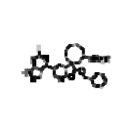 CCCCCCCC1CCCCCC(C(=O)OCc2ccccc2)(c2cncc(-c3nc(I)nc4[nH]ncc34)c2)C1